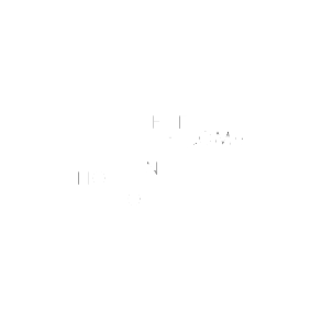 CO[C@H]1CCN(C(=O)CO)CC1(F)F